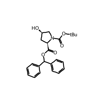 CC(C)(C)OC(=O)N1C[C@H](O)C[C@@H]1C(=O)OC(c1ccccc1)c1ccccc1